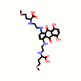 CSCCC(NCCNc1ccc(NCCNC(CCSC)C(=O)O)c2c1C(=O)c1c(O)ccc(O)c1C2=O)C(=O)O